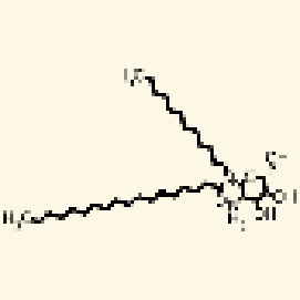 CCCCCCCCCCCCCCCCCC(=O)N(CCCCCCCCCCCC)[C@@H]1O[C@H](CO)[C@@H](O)[C@H](O)[C@H]1N